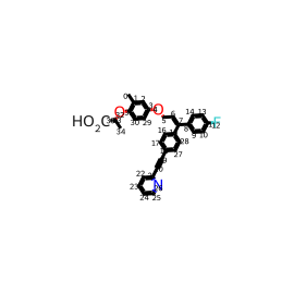 Cc1cc(OCC=C(c2ccc(F)cc2)c2ccc(C#Cc3ccccn3)cc2)ccc1OC(C)C(=O)O